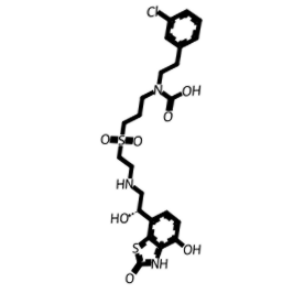 O=C(O)N(CCCS(=O)(=O)CCNC[C@@H](O)c1ccc(O)c2[nH]c(=O)sc12)CCc1cccc(Cl)c1